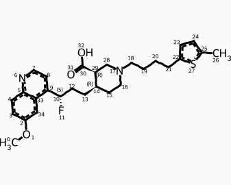 COc1ccc2nccc([C@@H](F)CC[C@@H]3CCN(CCCCc4ccc(C)s4)C[C@@H]3C(=O)O)c2c1